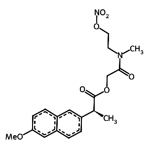 COc1ccc2cc([C@H](C)C(=O)OCC(=O)N(C)CCO[N+](=O)[O-])ccc2c1